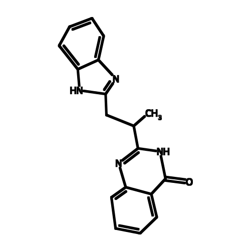 CC(Cc1nc2ccccc2[nH]1)c1nc2ccccc2c(=O)[nH]1